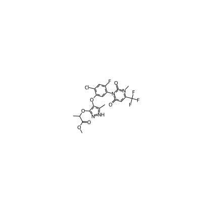 COC(=O)C(C)Oc1n[nH]c(C)c1Oc1cc(-n2c(=O)cc(C(F)(F)F)n(C)c2=O)c(F)cc1Cl